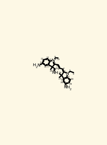 CCN1/C(=C/C=C/C2=[N+](CC)c3ccc(N)cc3C2(C)C=N)C(C)(C)c2cc(N)ccc21